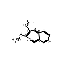 COC1=C(O[SiH3])N=C=c2ccccc2=C1